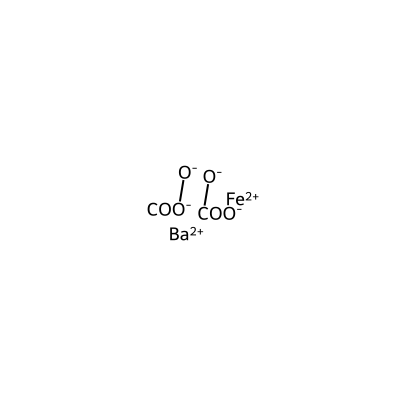 O=C([O-])[O-].O=C([O-])[O-].[Ba+2].[Fe+2]